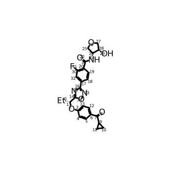 CC[C@@H](Oc1ccc(C(=O)C2CC2)cc1)c1nc(-c2ccc(C(=O)N[C@@H]3COC[C@H]3O)c(F)c2)no1